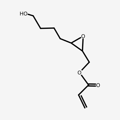 C=CC(=O)OCC1OC1CCCCO